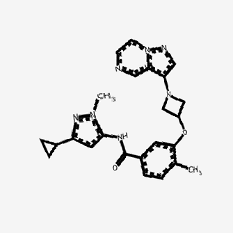 Cc1ccc(C(=O)Nc2cc(C3CC3)nn2C)cc1OC1CN(c2cnn3ccncc23)C1